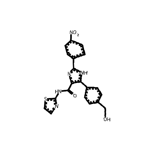 O=C(Nc1nccs1)c1nc(-c2ccc([N+](=O)[O-])cc2)[nH]c1-c1ccc(CO)cc1